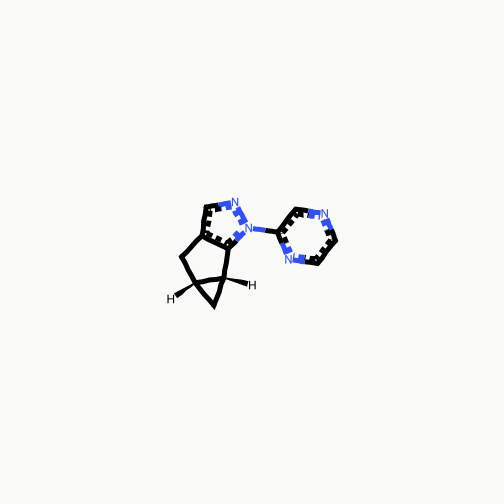 c1cnc(-n2ncc3c2[C@@H]2C[C@@H]2C3)cn1